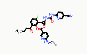 CCCC(=O)c1ccc(F)c([C@@H]2C[C@@H]2NC(=O)Nc2ccc(C#N)cn2)c1OC(=O)c1ccc(NC)nc1